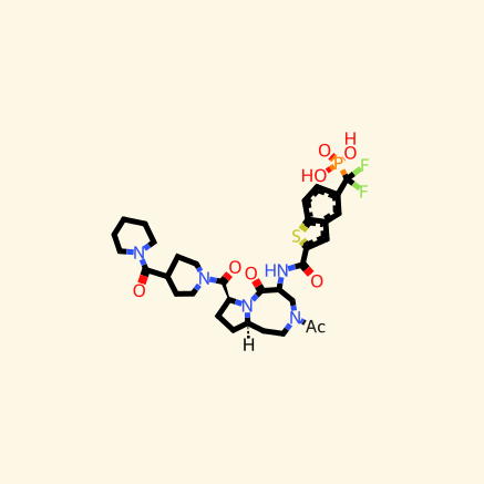 CC(=O)N1CC[C@H]2CC[C@@H](C(=O)N3CCC(C(=O)N4CCCCC4)CC3)N2C(=O)C(NC(=O)c2cc3cc(C(F)(F)P(=O)(O)O)ccc3s2)C1